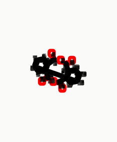 O=C1OC(=O)c2ccc3cc2C(=O)OC(=O)c2cc-3ccc21